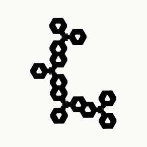 c1ccc(N(c2ccccc2)c2ccc3cc(N(c4ccccc4)c4ccc5cc(N(c6ccccc6)c6ccc7cc(N(c8ccccc8)c8ccccc8)ccc7c6)ccc5c4)ccc3c2)cc1